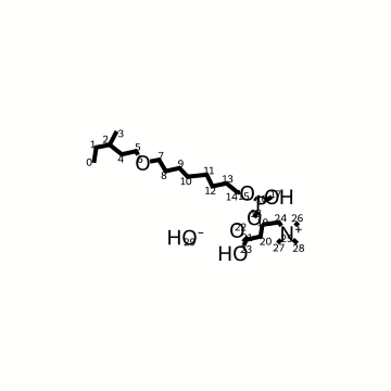 CCC(C)CCOCCCCCCCCOP(O)OC(CC(=O)O)C[N+](C)(C)C.[OH-]